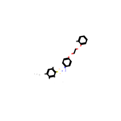 COc1cc(C)c(S(=O)(=O)Nc2ccc(OCCOc3ccccc3C(=O)O)cc2)c(C)c1C